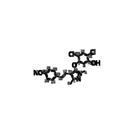 Cc1nn(C)c(Oc2cc(O)c(Cl)cc2Cl)c1/C=C/c1ccc(C#N)cc1